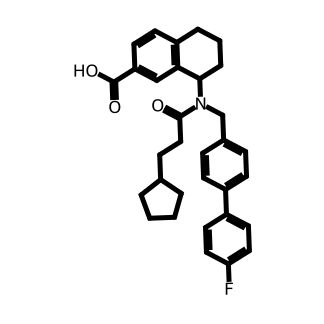 O=C(O)c1ccc2c(c1)C(N(Cc1ccc(-c3ccc(F)cc3)cc1)C(=O)CCC1CCCC1)CCC2